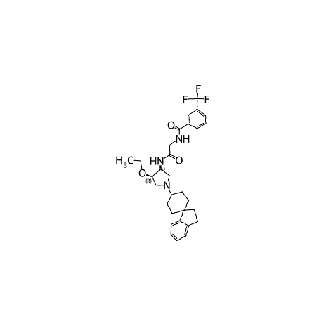 CCO[C@@H]1CN(C2CCC3(CCc4ccccc43)CC2)C[C@@H]1NC(=O)CNC(=O)c1cccc(C(F)(F)F)c1